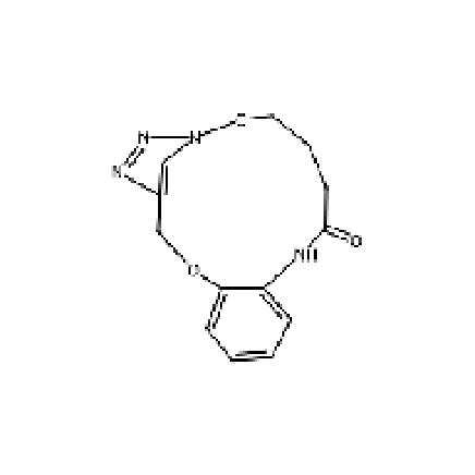 O=C1CCCCn2cc(nn2)COc2ccccc2N1